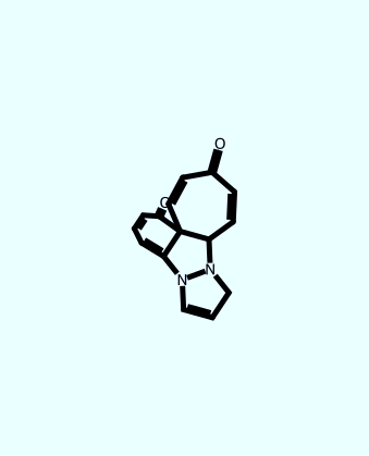 O=C1C=CC2N3CC=CN3C3=CC=CC(=O)C32C=C1